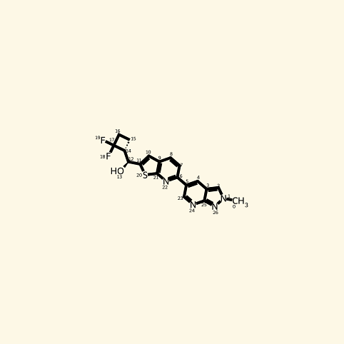 Cn1cc2cc(-c3ccc4cc([C@@H](O)[C@H]5CCC5(F)F)sc4n3)cnc2n1